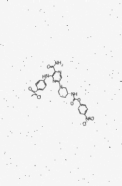 CS(=O)(=O)c1ccc(Nc2nc(N3CCC[C@@H](NC(=O)Oc4ccc([N+](=O)[O-])cc4)C3)cnc2C(N)=O)cc1